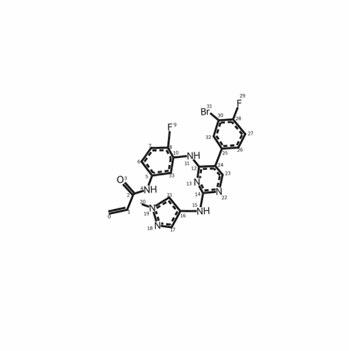 C=CC(=O)Nc1ccc(F)c(Nc2nc(Nc3cnn(C)c3)ncc2-c2ccc(F)c(Br)c2)c1